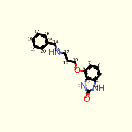 O=C1[N]c2c(cccc2OCCCNCc2ccccc2)N1